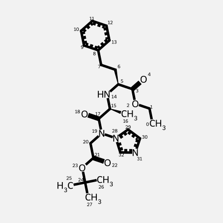 CCOC(=O)[C@H](CCc1ccccc1)N[C@@H](C)C(=O)N(CC(=O)OC(C)(C)C)n1ccnc1